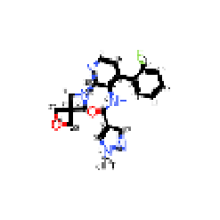 CC(C)n1cc(C(=O)Nc2c(-c3ccccc3F)ccnc2N2CC3(COC3)C2)cn1